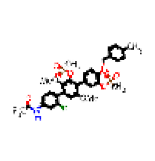 COc1cc(-c2ccc(NC(=O)C(F)(F)F)cc2F)c(OC)c(OS(C)(=O)=O)c1-c1ccc(OCc2ccc(C)cc2)c(OS(C)(=O)=O)c1